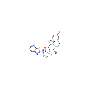 CCC1C2CCC3=CC(=O)C=CC3(C)C2CCC1[C@@](C)(I)C(=O)Nc1nc2cccnc2s1